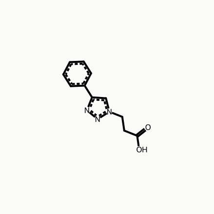 O=C(O)CCn1cc(-c2ccccc2)nn1